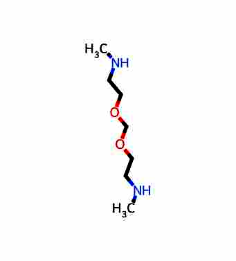 CNCCOCOCCNC